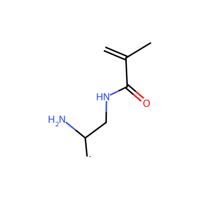 [CH2]C(N)CNC(=O)C(=C)C